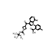 CC(C)(C)OC(=O)N1CC(C(=O)c2cn(-c3ccc(F)cc3C(=O)O)c3c(F)nccc23)C1